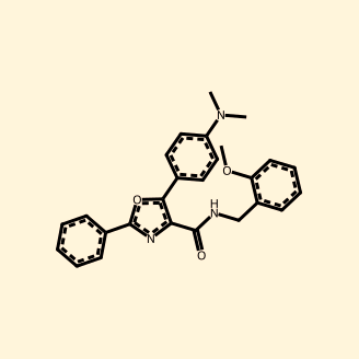 COc1ccccc1CNC(=O)c1nc(-c2ccccc2)oc1-c1ccc(N(C)C)cc1